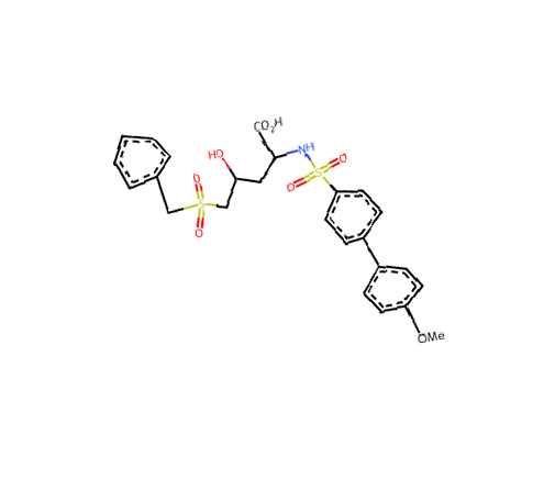 COc1ccc(-c2ccc(S(=O)(=O)NC(CC(O)CS(=O)(=O)Cc3ccccc3)C(=O)O)cc2)cc1